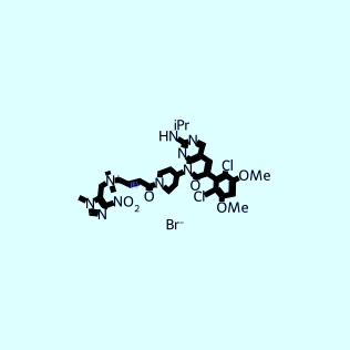 COc1cc(OC)c(Cl)c(-c2cc3cnc(NC(C)C)nc3n(C3CCN(C(=O)/C=C/C[N+](C)(C)Cc4c([N+](=O)[O-])ncn4C)CC3)c2=O)c1Cl.[Br-]